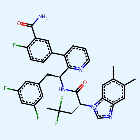 Cc1cc2ncn([C@H](CC(C)(F)F)C(=O)N[C@@H](Cc3cc(F)cc(F)c3)c3ncccc3-c3ccc(F)c(C(N)=O)c3)c2cc1C